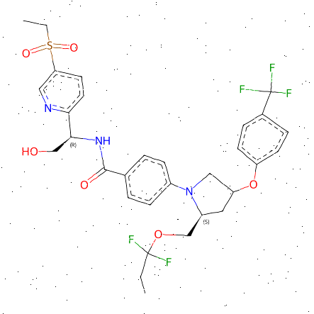 CCC(F)(F)OC[C@@H]1CC(Oc2ccc(C(F)(F)F)cc2)CN1c1ccc(C(=O)N[C@@H](CO)c2ccc(S(=O)(=O)CC)cn2)cc1